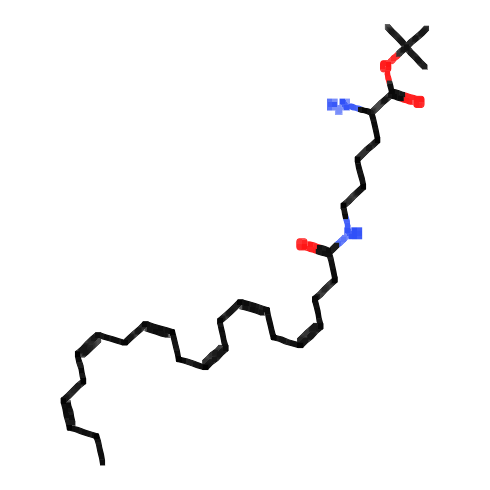 CC/C=C\C/C=C\C/C=C\C/C=C\C/C=C\C/C=C\CCC(=O)NCCCCC(N)C(=O)OC(C)(C)C